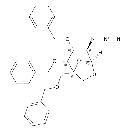 [N-]=[N+]=N[C@H]1[C@H]2OC[C@](COCc3ccccc3)(O2)[C@H](OCc2ccccc2)[C@@H]1OCc1ccccc1